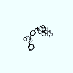 CC(C)(C)ON(C=O)C[C@H]1CC[C@H](N(C=O)OCc2ccccc2)CC1